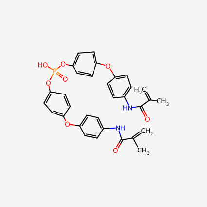 C=C(C)C(=O)Nc1ccc(Oc2ccc(OP(=O)(O)Oc3ccc(Oc4ccc(NC(=O)C(=C)C)cc4)cc3)cc2)cc1